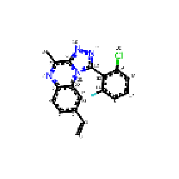 C=Cc1ccc2nc(C)c3nnc(-c4c(F)cccc4Cl)n3c2c1